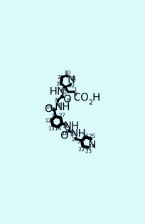 O=C(O)CCC1(NC(=O)CNC(=O)c2cccc(NC(=O)NCc3ccncc3)c2)C=CC=NC1